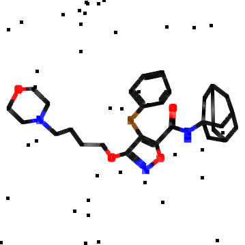 O=C(NC12CC3CC(CC(C3)C1)C2)c1onc(OCCCCN2CCOCC2)c1Sc1ccccc1